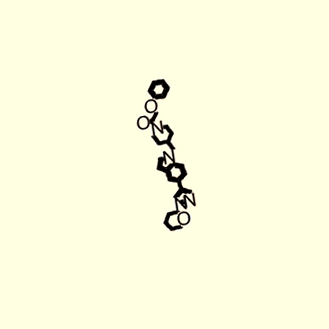 O=C(COc1ccccc1)N1CCC(Cn2ccc3cc(-c4cnn(C5CCCCO5)c4)ccc32)CC1